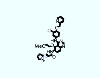 COCCOc1c(NC(=O)/C=C/[C@H]2CCCN2C)ccc2ncnc(Nc3ccc(OCc4ccccn4)c(Cl)c3)c12